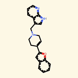 C1=C(c2cc3ccccc3o2)CCN(Cc2c[nH]c3ncccc23)C1